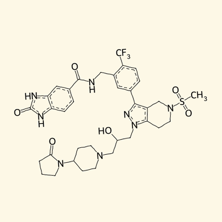 CS(=O)(=O)N1CCc2c(c(-c3ccc(C(F)(F)F)c(CNC(=O)c4ccc5[nH]c(=O)[nH]c5c4)c3)nn2CC(O)CN2CCC(N3CCCC3=O)CC2)C1